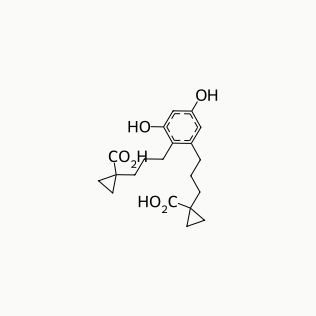 O=C(O)C1(CCCc2cc(O)cc(O)c2CCCC2(C(=O)O)CC2)CC1